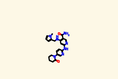 Cn1cccc1CNc1cc(Nc2ccc(N3CCCCC3=O)cn2)ncc1C(N)=O